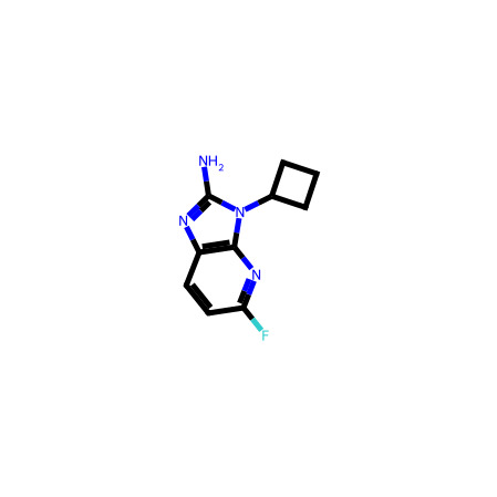 Nc1nc2ccc(F)nc2n1C1CCC1